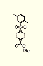 Cc1ccc(C)c(S(=O)(=O)N2CCN(C(=O)OC(C)(C)C)CC2)c1